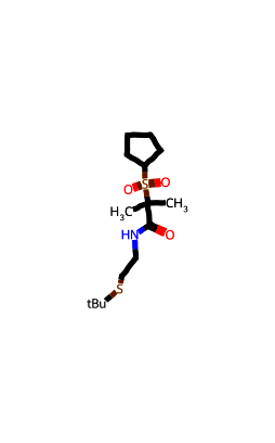 CC(C)(C)SCCNC(=O)C(C)(C)S(=O)(=O)C1CCCC1